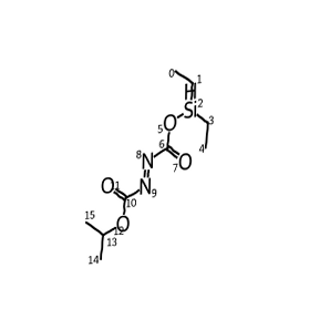 CC[SiH](CC)OC(=O)N=NC(=O)OC(C)C